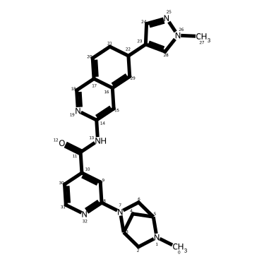 CN1CC2CC1CN2c1cc(C(=O)Nc2cc3c(cn2)=CCC(c2cnn(C)c2)C=3)ccn1